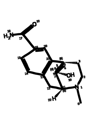 CN1CC[C@@]23CCCC[C@]2(O)[C@@H]1Cc1ccc(C(N)=O)cc13